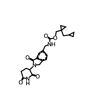 O=C1CCC(N2Cc3ccc(CNC(=O)OCC4(CC5CC5)CC4)cc3C2=O)C(=O)N1